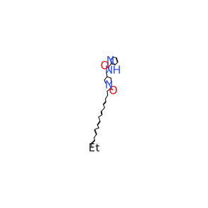 CCC=CCC=CCC=CCC=CCC=CCCCC(=O)N1CCC(CNC(=O)c2ccccn2)CC1